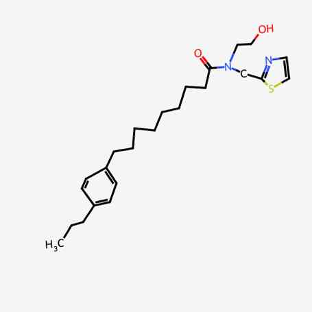 CCCc1ccc(CCCCCCCCC(=O)N(CCO)Cc2nccs2)cc1